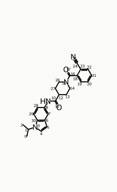 CC(C)n1ccc2cc(NC(=O)C3CCN(C(=O)c4ccccc4C#N)CC3)ccc21